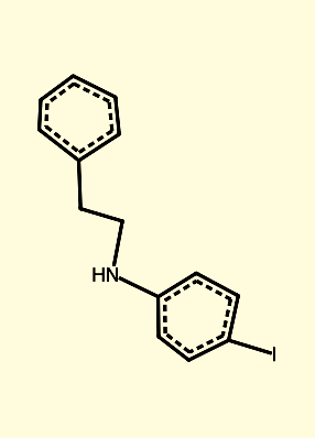 Ic1ccc(NCCc2ccccc2)cc1